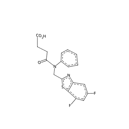 O=C(O)CCC(=O)N(Cc1nc2cc(F)cc(F)c2s1)c1ccccc1